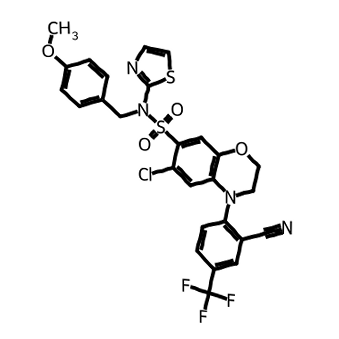 COc1ccc(CN(c2nccs2)S(=O)(=O)c2cc3c(cc2Cl)N(c2ccc(C(F)(F)F)cc2C#N)CCO3)cc1